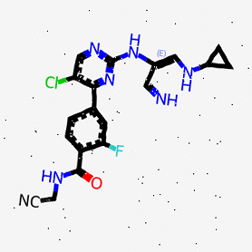 N#CCNC(=O)c1ccc(-c2nc(N/C(C=N)=C/NC3CC3)ncc2Cl)cc1F